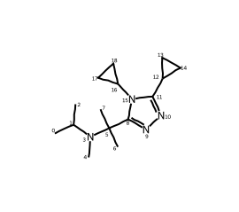 CC(C)N(C)C(C)(C)c1nnc(C2CC2)n1C1CC1